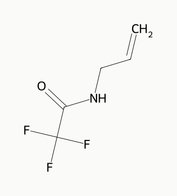 C=CCNC(=O)C(F)(F)F